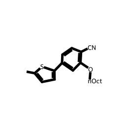 CCCCCCCCOc1cc(-c2ccc(C)s2)ccc1C#N